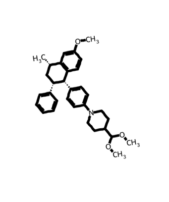 COc1ccc2c(c1)[C@@H](C)C[C@@H](c1ccccc1)[C@H]2c1ccc(N2CCC(C(OC)OC)CC2)cc1